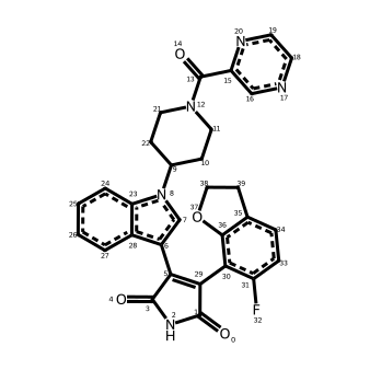 O=C1NC(=O)C(c2cn(C3CCN(C(=O)c4cnccn4)CC3)c3ccccc23)=C1c1c(F)ccc2c1OCC2